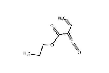 C=CC(=C=O)C(=O)OCCC